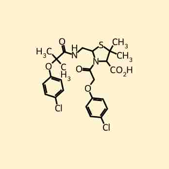 CC(C)(Oc1ccc(Cl)cc1)C(=O)NCC1SC(C)(C)C(C(=O)O)N1C(=O)COc1ccc(Cl)cc1